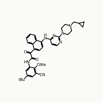 COc1c(C#N)cc(C(C)(C)C)cc1NC(=O)C(=O)c1ccc(Nc2ccnc(N3CCN(CC4CC4)CC3)n2)c2ccccc12